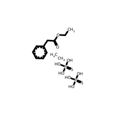 C.C.CCOC(=O)Cc1ccccc1.OP(O)(O)=S.OP(O)(O)=S